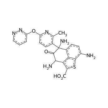 Cc1nc(Oc2cccnn2)ccc1C1(N)C(=O)C(N)c2c(C(=O)O)sc3c(N)ccc1c23